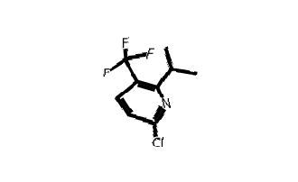 CC(C)c1nc(Cl)ccc1C(F)(F)F